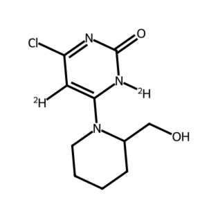 [2H]c1c(Cl)nc(=O)n([2H])c1N1CCCCC1CO